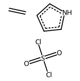 C=C.O=S(=O)(Cl)Cl.c1cc[nH]c1